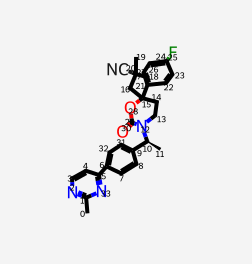 Cc1nccc(-c2ccc([C@H](C)N3CCC(CC(C)(C)C#N)(c4ccc(F)cc4)OC3=O)cc2)n1